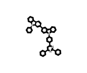 C1=CC2c3ccccc3N(c3ccccc3)C2C=C1c1ccc2c(c1)c1ccccc1n2-c1ccc(-c2cc(-c3ccccc3)nc(-c3ccccc3)n2)cc1